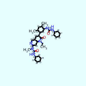 CCn1c(=O)c(-c2cc(NC(=O)Nc3ccccc3)c(C)cc2C)cc2cnc(N(C)C(=O)Nc3ccccc3)cc21